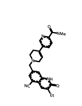 CCc1cc2c(C#N)cc(CN3CC=C(c4ccc(C(=O)NC)nc4)CC3)cc2[nH]c1=O